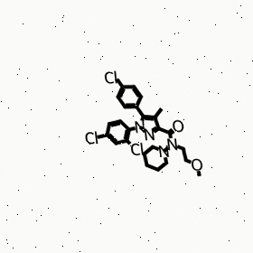 COCCN(C(=O)c1nn(-c2ccc(Cl)cc2Cl)c(-c2ccc(Cl)cc2)c1C)N1CCCCC1